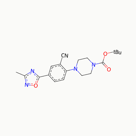 Cc1noc(-c2ccc(N3CCN(C(=O)OC(C)(C)C)CC3)c(C#N)c2)n1